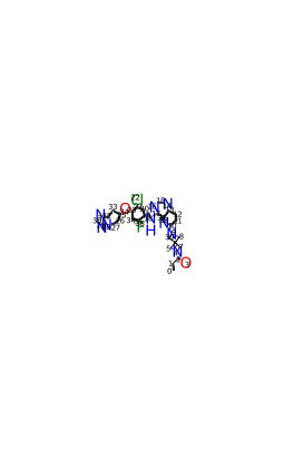 C=CC(=O)N1CC2(C1)CN(c1ccc3ncnc(Nc4cc(Cl)c(Oc5ccn6ncnc6c5)cc4F)c3n1)C2